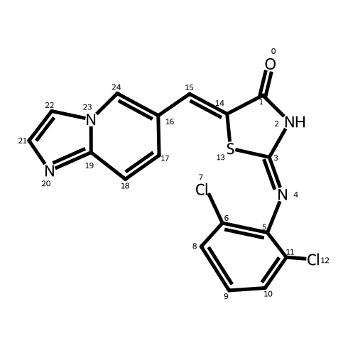 O=C1N/C(=N/c2c(Cl)cccc2Cl)S/C1=C\c1ccc2nccn2c1